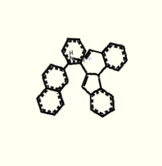 C1=C(c2ccccc2)C(c2ccccc2/C=N/Nc2ccc3ccccc3c2)c2ccccc21